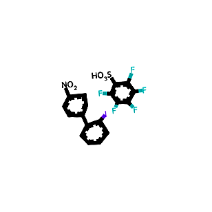 O=S(=O)(O)c1c(F)c(F)c(F)c(F)c1F.O=[N+]([O-])c1ccc(-c2ccccc2I)cc1